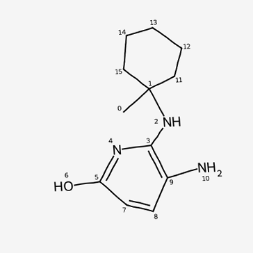 CC1(Nc2nc(O)ccc2N)CCCCC1